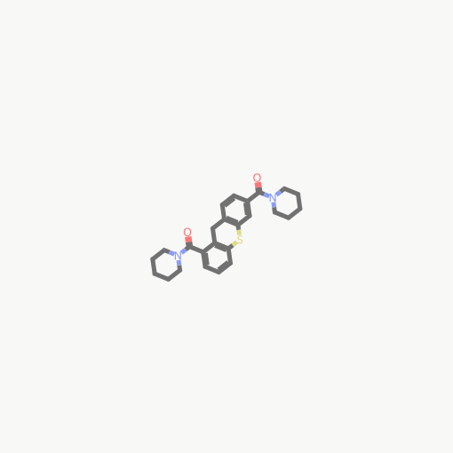 O=C(c1ccc2c(c1)Sc1cccc(C(=O)N3CCCCC3)c1C2)N1CCCCC1